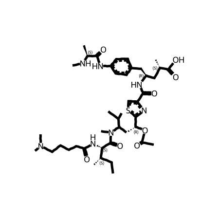 CC[C@H](C)[C@H](NC(=O)CCCCN(C)C)C(=O)N(C)C(C[C@@H](OC(C)=O)c1nc(C(=O)N[C@@H](Cc2ccc(NC(=O)[C@H](C)NC)cc2)C[C@H](C)C(=O)O)cs1)C(C)C